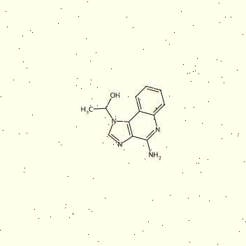 C[C](O)n1cnc2c(N)nc3ccccc3c21